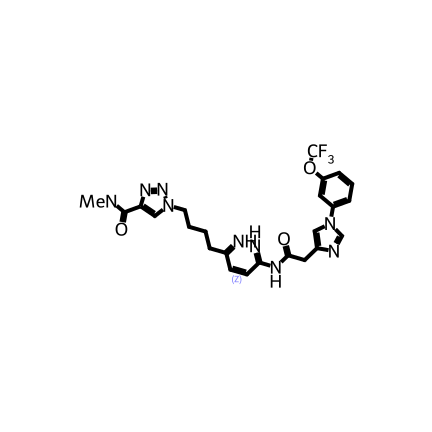 CNC(=O)c1cn(CCCCC(=N)/C=C\C(=N)NC(=O)Cc2cn(-c3cccc(OC(F)(F)F)c3)cn2)nn1